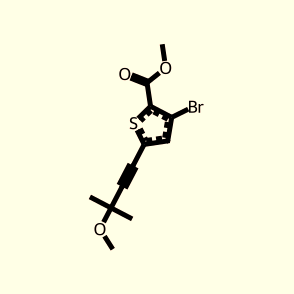 COC(=O)c1sc(C#CC(C)(C)OC)cc1Br